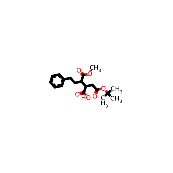 COC(=O)C(CCc1ccccc1)C(CC(=O)OC(C)(C)C)C(=O)O